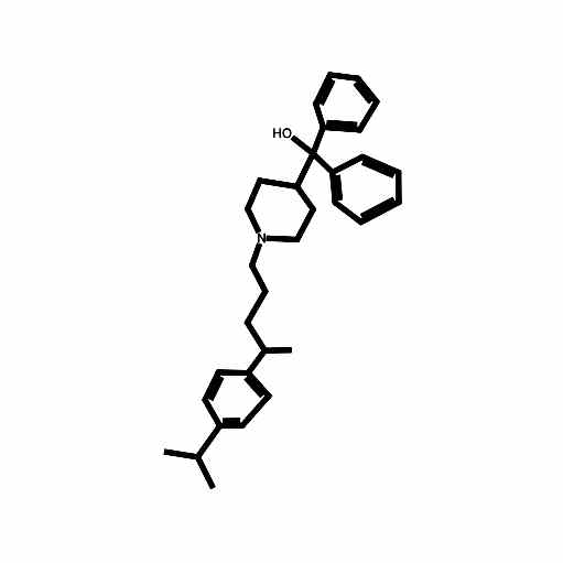 CC(C)c1ccc(C(C)CCCN2CCC(C(O)(c3ccccc3)c3ccccc3)CC2)cc1